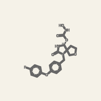 O=C(NO)O[C@H]1NC(=O)N(Cc2ccc(Oc3ccc(F)cc3)cc2)C12CCOC2